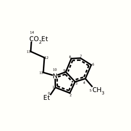 [CH2]Cc1cc2c(C)cccc2n1CCCC(=O)OCC